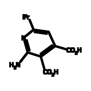 CC(C)c1cc(C(=O)O)c(C(=O)O)c(N)n1